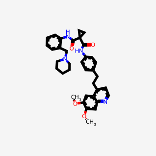 COc1cc2nccc(CCc3ccc(NC(=O)C4(C(=O)Nc5ccccc5CN5CCCCC5)CC4)cc3)c2cc1OC